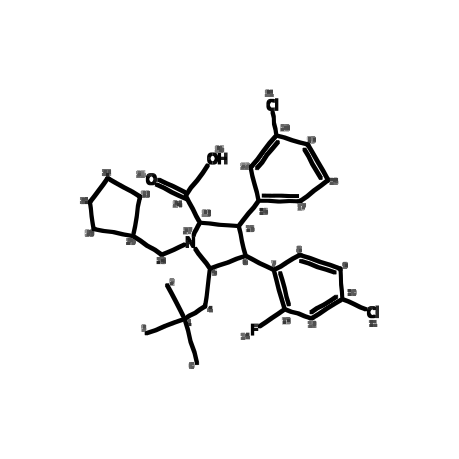 CC(C)(C)CC1C(c2ccc(Cl)cc2F)C(c2cccc(Cl)c2)C(C(=O)O)N1CC1CCCC1